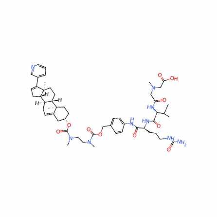 CC(C)[C@H](NC(=O)CN(C)CC(=O)O)C(=O)N[C@@H](CCCNC(N)=O)C(=O)Nc1ccc(COC(=O)N(C)CCN(C)C(=O)O[C@H]2CC[C@@]3(C)C(=CC[C@@H]4[C@@H]3CC[C@]3(C)C(c5cccnc5)=CC[C@@H]43)C2)cc1